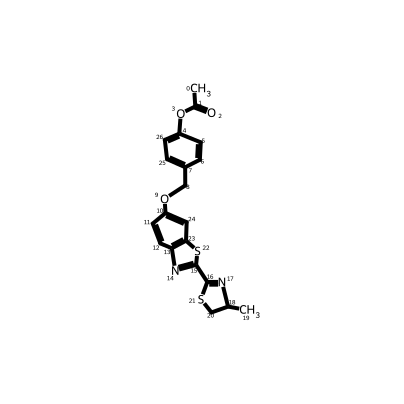 CC(=O)Oc1ccc(COc2ccc3nc(C4=NC(C)CS4)sc3c2)cc1